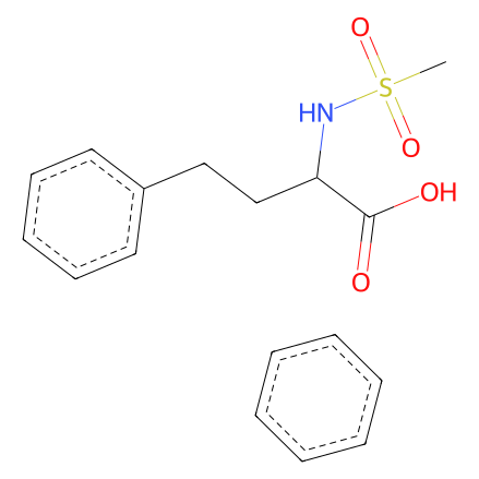 CS(=O)(=O)NC(CCc1ccccc1)C(=O)O.c1ccccc1